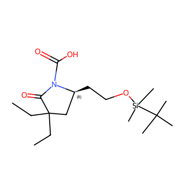 CCC1(CC)C[C@H](CCO[Si](C)(C)C(C)(C)C)N(C(=O)O)C1=O